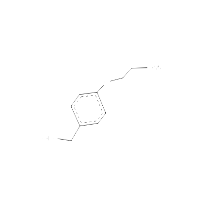 COCCOc1ccc(CC=O)cc1